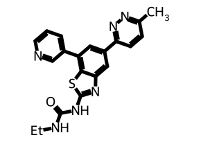 CCNC(=O)Nc1nc2cc(-c3ccc(C)nn3)cc(-c3cccnc3)c2s1